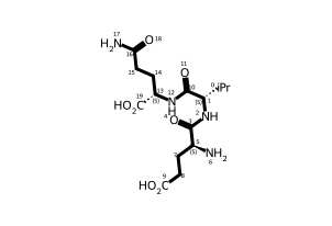 CC(C)[C@H](NC(=O)[C@@H](N)CCC(=O)O)C(=O)N[C@@H](CCC(N)=O)C(=O)O